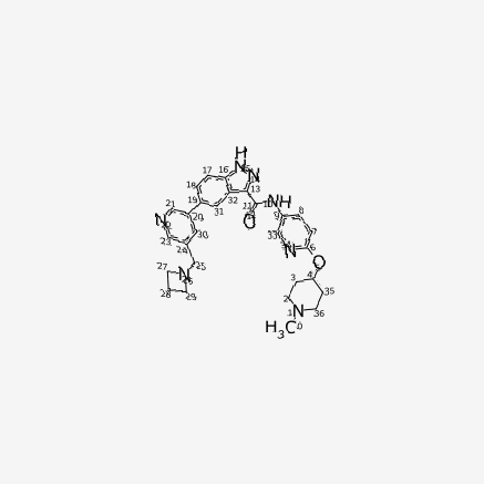 CN1CCC(Oc2ccc(NC(=O)c3n[nH]c4ccc(-c5cncc(CN6CCC6)c5)cc34)cn2)CC1